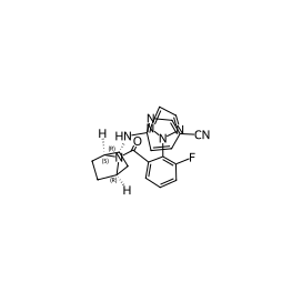 N#Cc1ccc(N[C@@H]2C[C@H]3CC[C@@H]2N3C(=O)c2cccc(F)c2-n2nccn2)nc1